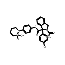 NC(=O)N1Cc2ccccc2C1(C(=O)Nc1ccc(N2CCCCS2(O)O)cc1)c1ccc(Cl)cc1